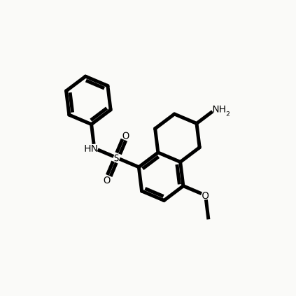 COc1ccc(S(=O)(=O)Nc2ccccc2)c2c1CC(N)CC2